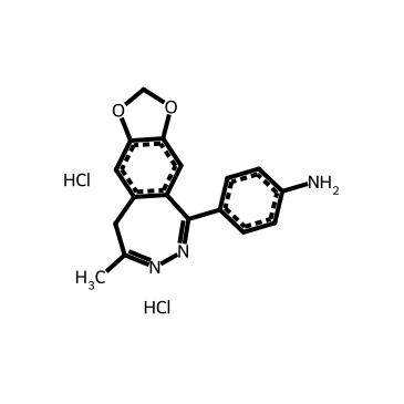 CC1=NN=C(c2ccc(N)cc2)c2cc3c(cc2C1)OCO3.Cl.Cl